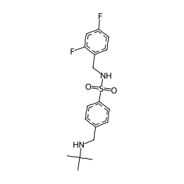 CC(C)(C)NCc1ccc(S(=O)(=O)NCc2ccc(F)cc2F)cc1